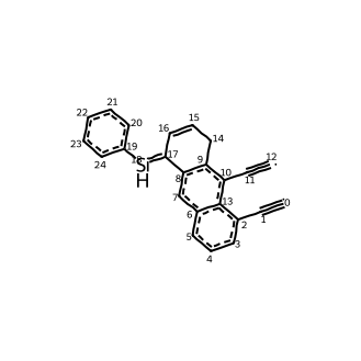 [C]#Cc1cccc2cc3c(c(C#[C])c12)CC=CC3=[SiH]c1ccccc1